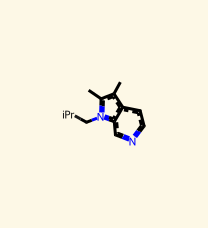 Cc1c(C)n(CC(C)C)c2cnccc12